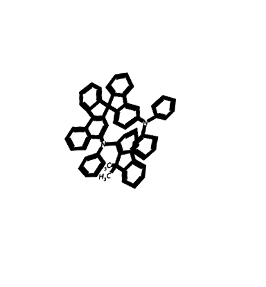 CC1(C)c2ccccc2-c2cccc(N(c3ccccc3)c3cc4c(c5ccccc35)-c3ccccc3C43c4ccccc4-c4cc(N(c5ccccc5)c5ccccc5)ccc43)c21